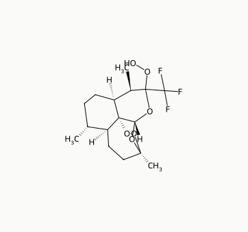 C[C@@H]1CC[C@H]2[C@@H](C)C(OO)(C(F)(F)F)O[C@@H]3O[C@]4(C)CC[C@@H]1[C@]32OO4